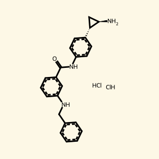 Cl.Cl.N[C@@H]1C[C@H]1c1ccc(NC(=O)c2cccc(NCc3ccccc3)c2)cc1